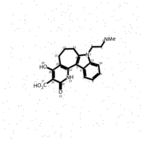 CNCCn1c2c(c3ccccc31)-c1[nH]c(=O)c(C(=O)O)c(O)c1CCC2